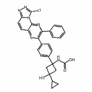 O=C(O)NC1(c2ccc(-c3nc4ccc5nnc(Cl)n5c4nc3-c3ccccc3)cc2)CC(O)(C2CC2)C1